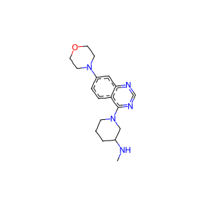 CNC1CCCN(c2ncnc3cc(N4CCOCC4)ccc23)C1